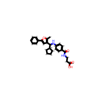 Cc1oc(-c2ccccc2)cc1C(Nc1ccc(C(=O)NCCC(=O)O)cc1)C1CCCC1